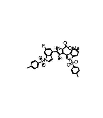 COC(=O)c1[nH]c(-c2cc(F)cc3c2ccn3S(=O)(=O)c2ccc(C)cc2)c(C(C)C)c1-c1cn(S(=O)(=O)c2ccc(C)cc2)c2ccccc12